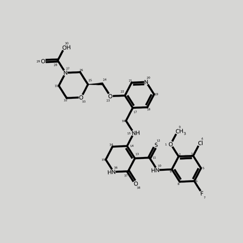 COc1c(Cl)cc(F)cc1NC(=S)C1=C(NCc2ccncc2OC[C@@H]2CN(C(=O)O)CCO2)CCNC1=O